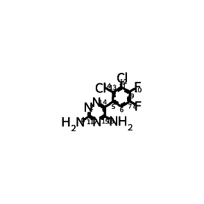 Nc1nnc(-c2cc(F)c(F)c(Cl)c2Cl)c(N)n1